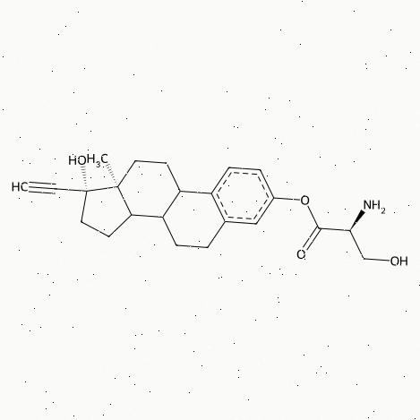 C#C[C@]1(O)CCC2C3CCc4cc(OC(=O)[C@@H](N)CO)ccc4C3CC[C@@]21C